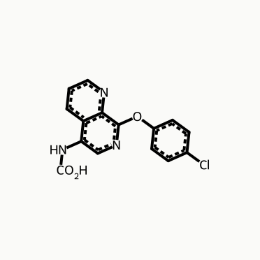 O=C(O)Nc1cnc(Oc2ccc(Cl)cc2)c2ncccc12